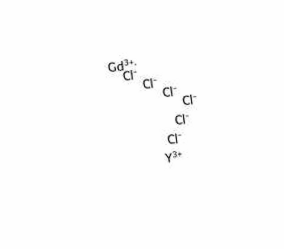 [Cl-].[Cl-].[Cl-].[Cl-].[Cl-].[Cl-].[Gd+3].[Y+3]